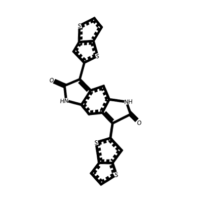 O=C1Nc2cc3c(cc2=C1c1cc2sccc2s1)NC(=O)C=3c1cc2sccc2s1